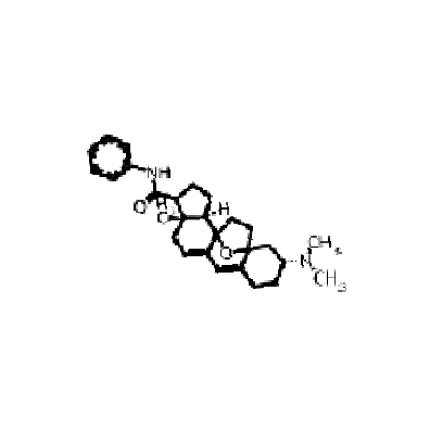 CN(C)[C@@H]1CCC2=CC3=CC[C@]4(C)C(C(=O)Nc5ccccc5)CC[C@H]4C34CC[C@]2(C1)O4